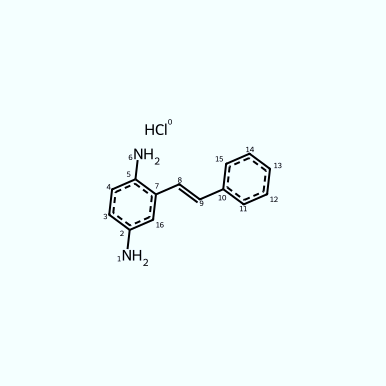 Cl.Nc1ccc(N)c(C=Cc2ccccc2)c1